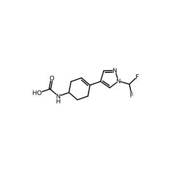 O=C(O)NC1CC=C(c2cnn(C(F)F)c2)CC1